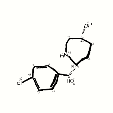 Cl.O[C@@H]1CC[C@H](Cc2ccc(Cl)cc2)NC1